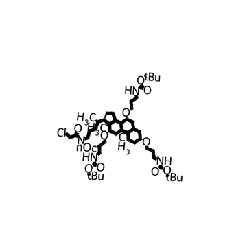 CCCCCCCCN(CCC[C@@H](C)[C@H]1CCC2C3C(C[C@H](OCCCNC(=O)OC(C)(C)C)[C@@]21C)[C@@]1(C)CC[C@@H](OCCCNC(=O)OC(C)(C)C)CC1C[C@H]3OCCCNC(=O)OC(C)(C)C)C(=O)CCl